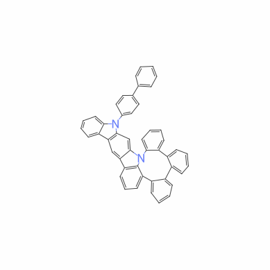 c1ccc(-c2ccc(-n3c4ccccc4c4cc5c6cccc7c8ccccc8c8ccccc8c8ccccc8n(c5cc43)c76)cc2)cc1